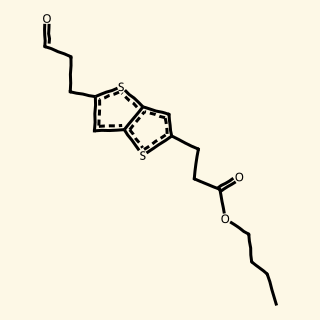 CCCCOC(=O)CCc1cc2sc(CCC=O)cc2s1